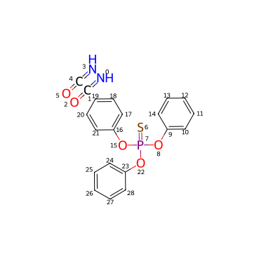 N=C=O.N=C=O.S=P(Oc1ccccc1)(Oc1ccccc1)Oc1ccccc1